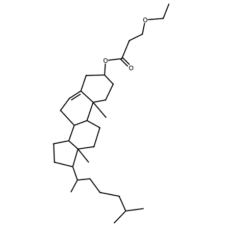 CCOCCC(=O)OC1CCC2(C)C(=CCC3C2CCC2(C)C(C(C)CCCC(C)C)CCC32)C1